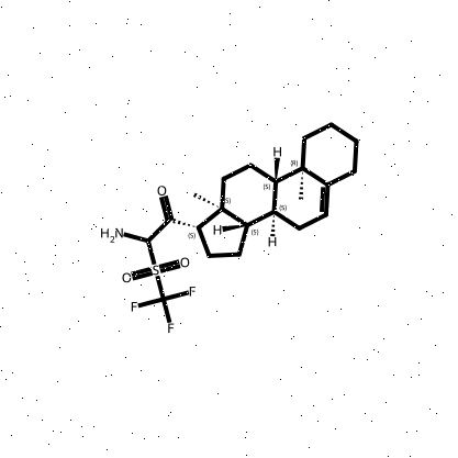 C[C@]12CC[C@H]3[C@@H](CC=C4CCCC[C@@]43C)[C@@H]1CC[C@@H]2C(=O)C(N)S(=O)(=O)C(F)(F)F